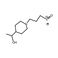 [CH2]C(O)C1CCN(CCC[SH](=O)=O)CC1